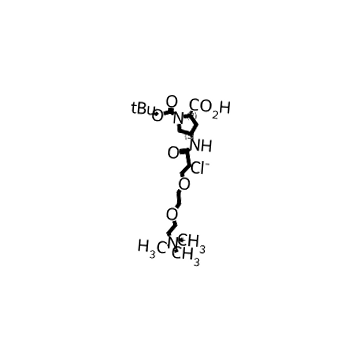 CC(C)(C)OC(=O)N1C[C@@H](NC(=O)CCOCCOCC[N+](C)(C)C)C[C@@H]1C(=O)O.[Cl-]